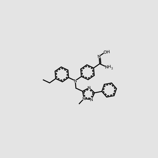 CCc1cccc(N(Cc2nc(-c3ccccc3)nn2C)c2ccc(C(N)=NO)cc2)c1